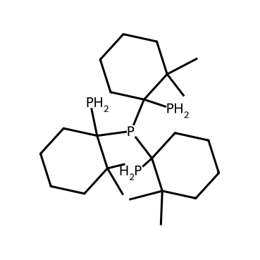 CC1(C)CCCCC1(P)P(C1(P)CCCCC1(C)C)C1(P)CCCCC1(C)C